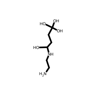 NCCNC(O)CCC(O)(O)O